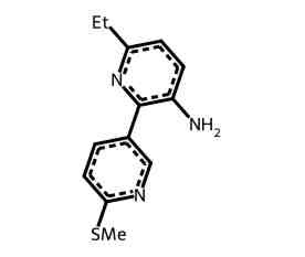 CCc1ccc(N)c(-c2ccc(SC)nc2)n1